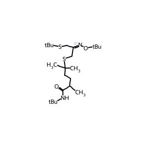 CC(CCC(C)(C)SC/C(CSC(C)(C)C)=N\OC(C)(C)C)C(=O)NC(C)(C)C